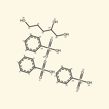 O=S(=O)(O)c1ccccc1.O=S(=O)(O)c1ccccc1.O=S(=O)(O)c1ccccc1.OCCCC(O)CO